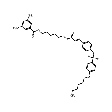 Nc1cc(N)cc(C(=O)OCCCCCCOC(=O)C=Cc2ccc(OC(F)(F)c3ccc(OCCCCCC(F)(F)F)cc3)cc2)c1